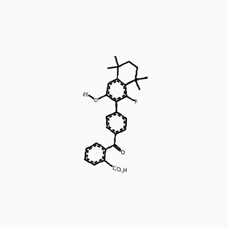 CCOc1cc2c(c(F)c1-c1ccc(C(=O)c3ccccc3C(=O)O)cc1)C(C)(C)CCC2(C)C